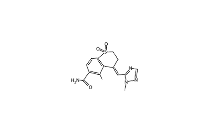 Cc1c(C(N)=O)ccc2c1C(=Cc1ncnn1C)CCS2(=O)=O